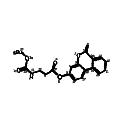 C=C1Oc2cc(OC(=O)CCNC(=O)OC(C)(C)C)ccc2-c2ccccc21